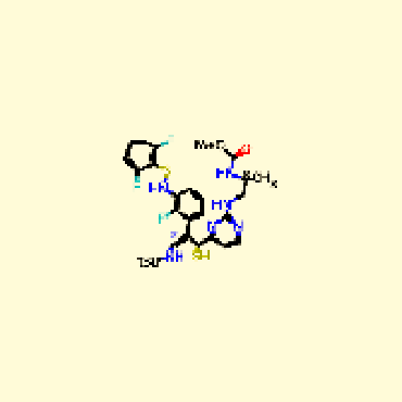 COC(=O)N[C@@H](C)CNc1nccc(C(S)/C(=C\NC(C)(C)C)c2cccc(NSc3c(F)cccc3F)c2F)n1